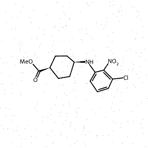 COC(=O)[C@H]1CC[C@@H](Nc2cccc(Cl)c2[N+](=O)[O-])CC1